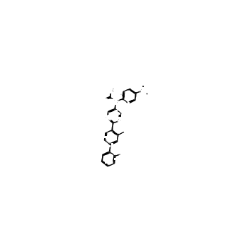 Cc1cc(-c2ccccc2Cl)ccc1-c1ncc(N(C(N)=O)c2ccc(N(C)C)cc2)cn1